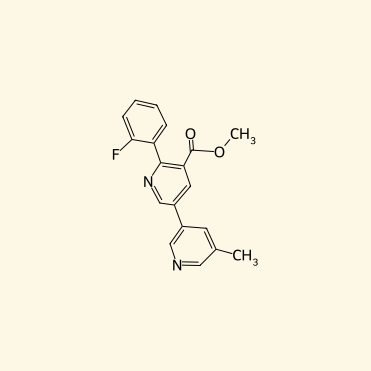 COC(=O)c1cc(-c2cncc(C)c2)cnc1-c1ccccc1F